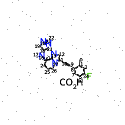 Cc1cc(F)c(C(=O)O)cc1C#Cc1cnc2c(N(C)c3cnn(C)c3)cccn12